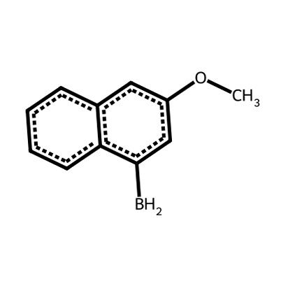 Bc1cc(OC)cc2ccccc12